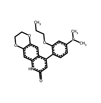 CCCOc1cc(N(C)C)ccc1-c1cc(=O)[nH]c2cc3c(cc12)OCCO3